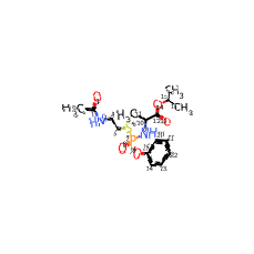 CC(=O)NCCSP(=O)(NC(C)C(=O)OC(C)C)Oc1ccccc1